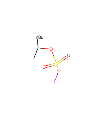 CCCCC(C)OS(=O)(=O)OI